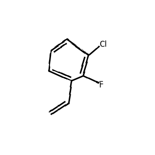 C=Cc1cccc(Cl)c1F